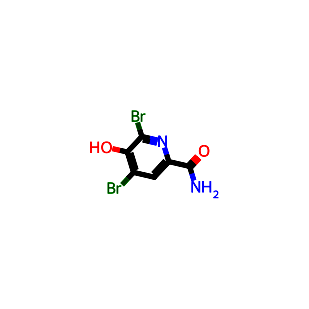 NC(=O)c1cc(Br)c(O)c(Br)n1